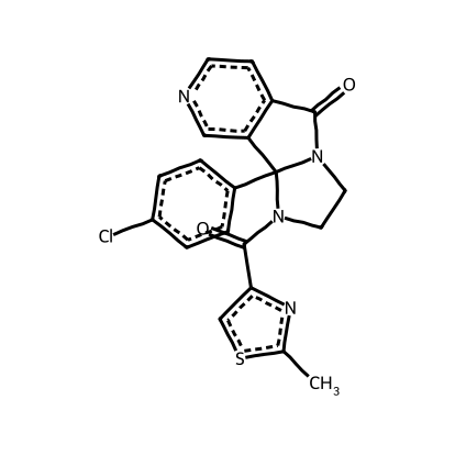 Cc1nc(C(=O)N2CCN3C(=O)c4ccncc4C23c2ccc(Cl)cc2)cs1